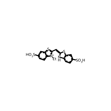 CC[n+]1c(/C=C2\Nc3ccc(S(=O)(=O)O)cc3S2)sc2cc(S(=O)(=O)O)ccc21